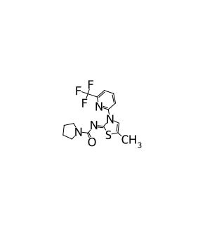 Cc1cn(-c2cccc(C(F)(F)F)n2)c(=NC(=O)N2CCCC2)s1